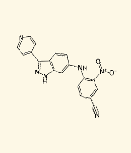 N#Cc1ccc(Nc2ccc3c(-c4ccncc4)n[nH]c3c2)c([N+](=O)[O-])c1